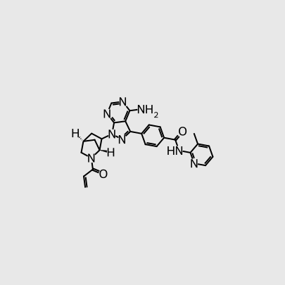 C=CC(=O)N1C[C@H]2CC(n3nc(-c4ccc(C(=O)Nc5ncccc5C)cc4)c4c(N)ncnc43)[C@H]1C2